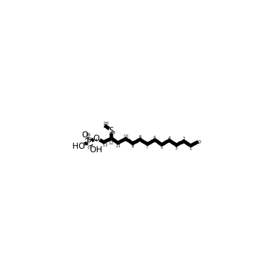 CCCCCCCCCCCCC(COP(=O)(O)O)SC